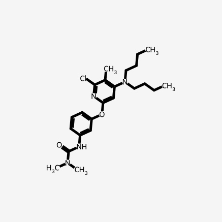 CCCCN(CCCC)c1cc(Oc2cccc(NC(=O)N(C)C)c2)nc(Cl)c1C